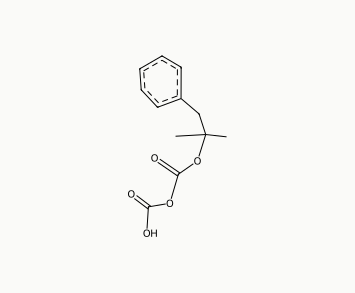 CC(C)(Cc1ccccc1)OC(=O)OC(=O)O